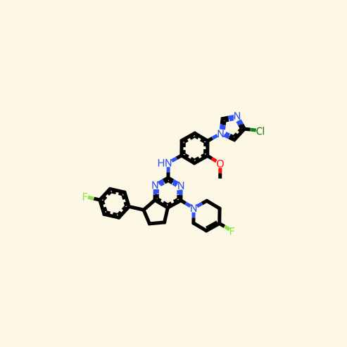 COc1cc(Nc2nc3c(c(N4CC=C(F)CC4)n2)CCC3c2ccc(F)cc2)ccc1-n1cnc(Cl)c1